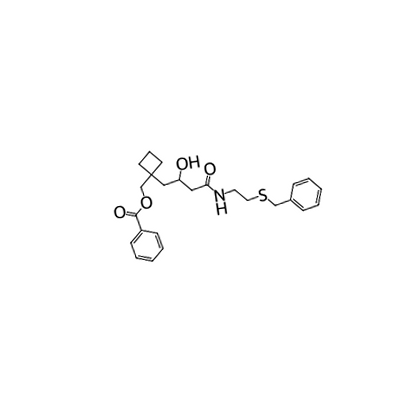 O=C(CC(O)CC1(COC(=O)c2ccccc2)CCC1)NCCSCc1ccccc1